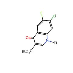 CCOC(=O)c1cn(CC)c2cc(Cl)c(F)cc2c1=O